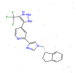 FC(F)(F)C1=C(c2ccnc(-c3cn(C[C@H]4CCc5ccccc54)cn3)c2)NNN1